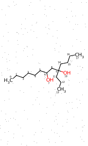 CCCCCCC(O)CC(O)(CCC)CCCC